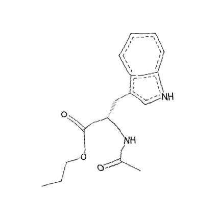 CCCOC(=O)[C@H](Cc1c[nH]c2ccccc12)NC(C)=O